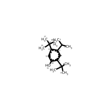 C[C](C)c1cc(C(C)(C)C)c(O)cc1C(C)(C)C